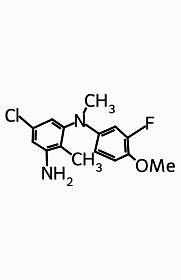 COc1ccc(N(C)c2cc(Cl)cc(N)c2C)cc1F